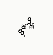 CNC(=O)CN(CCCC1OCC(c2cccc3cc(OC)ccc23)CO1)Cc1ccccc1